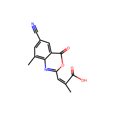 C/C(=C/c1nc2c(C)cc(C#N)cc2c(=O)o1)C(=O)O